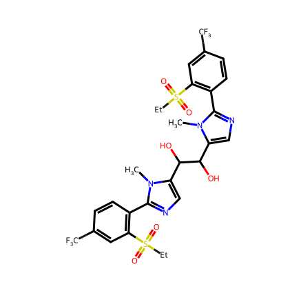 CCS(=O)(=O)c1cc(C(F)(F)F)ccc1-c1ncc(C(O)C(O)c2cnc(-c3ccc(C(F)(F)F)cc3S(=O)(=O)CC)n2C)n1C